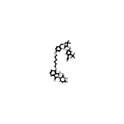 CC1(C)CN(Cc2ccc(OCCCCCCOc3cccc4c3C(=O)N(C3CCC(=O)NC3=O)C4=O)cc2)C(=O)[C@@H]1Oc1ccc(C#N)c(C(F)(F)F)c1